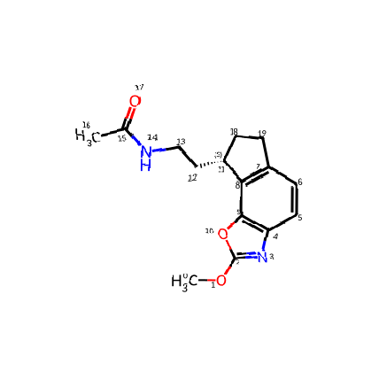 COc1nc2ccc3c(c2o1)[C@H](CCNC(C)=O)CC3